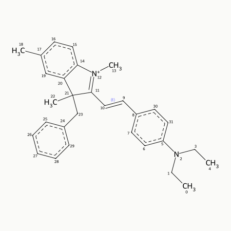 CCN(CC)c1ccc(/C=C/C2=[N+](C)c3ccc(C)cc3C2(C)Cc2ccccc2)cc1